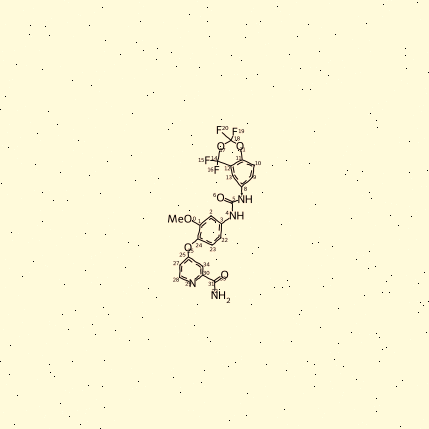 COc1cc(NC(=O)Nc2ccc3c(c2)C(F)(F)OC(F)(F)O3)ccc1Oc1ccnc(C(N)=O)c1